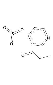 CCC=O.O=S(=O)=O.c1ccncc1